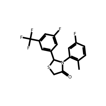 Cc1ccc(F)cc1N1C(=O)CSC1c1cc(F)cc(C(F)(F)F)c1